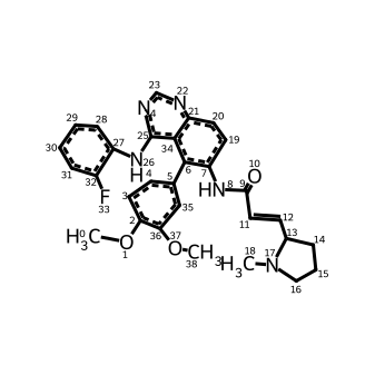 COc1ccc(-c2c(NC(=O)C=CC3CCCN3C)ccc3ncnc(Nc4ccccc4F)c23)cc1OC